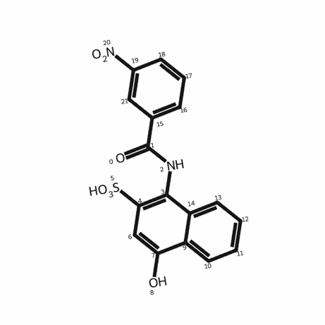 O=C(Nc1c(S(=O)(=O)O)cc(O)c2ccccc12)c1cccc([N+](=O)[O-])c1